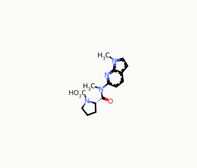 CN(C(=O)[C@@H]1CCCN1C(=O)O)c1ccc2ccn(C)c2n1